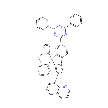 c1ccc(-c2nc(-c3ccccc3)nc(-c3ccc4c(c3)C3(c5ccccc5Sc5ccccc53)c3cc(-c5cccc6cccnc56)ccc3-4)n2)cc1